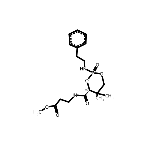 COC(=O)CCNC(=O)[C@@H]1OP(=O)(NCCc2ccccc2)OCC1(C)C